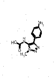 Cn1nnc(-c2ccc(N)cc2)c1NC(=O)O